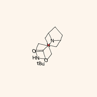 CC(C)(C)OC(=O)N1CC2CCC(C1)N2C1CCNCC1